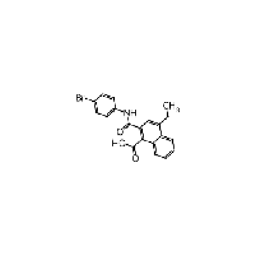 CCc1cc(C(=O)Nc2ccc(Br)cc2)c(C(=O)O)c2ccccc12